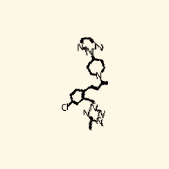 C=C(/C=C/c1ccc(Cl)cc1Cn1nnc(C)n1)N1CCC(n2nccn2)CC1